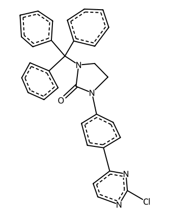 O=C1N(c2ccc(-c3ccnc(Cl)n3)cc2)CCN1C(c1ccccc1)(c1ccccc1)c1ccccc1